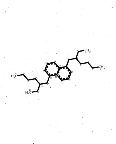 CCCCC(CC)Cc1cccc2c(CC(CC)CCCC)cccc12